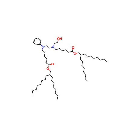 CCCCCCCCC(CCCCCCCC)COC(=O)CCCCCN(CCO)CCN(CCCCCC(=O)OCC(CCCCCCCC)CCCCCCCC)c1ccccc1